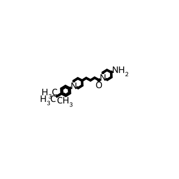 CC(C)(C)c1ccc(N2CCC(CCCC(=O)N3CCC(N)CC3)CC2)cc1